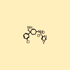 Cn1cnc(S(=O)(=O)NC2CCC(CN)(c3cccc(Cl)c3)CC2)c1